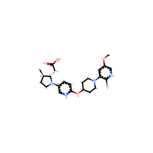 COc1cnc(Cl)c(N2CCC(Oc3ccc(N4CC[C@@H](C)[C@@H]4CC(=O)O)cn3)CC2)c1